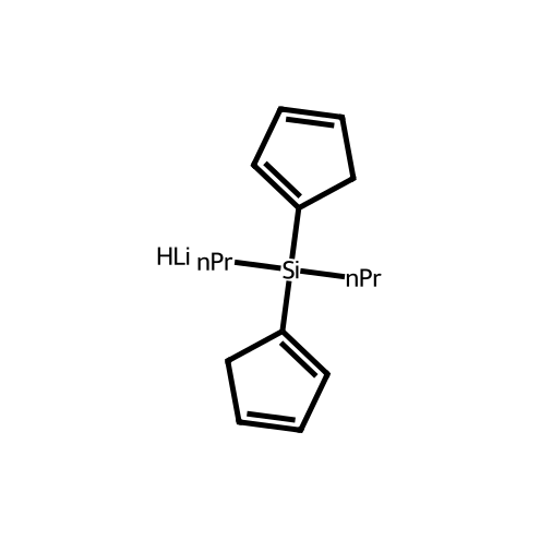 CCC[Si](CCC)(C1=CC=CC1)C1=CC=CC1.[LiH]